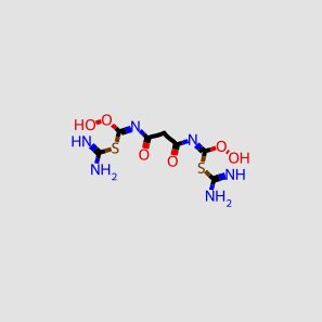 N=C(N)SC(=NC(=O)CC(=O)N=C(OO)SC(=N)N)OO